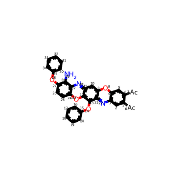 CC(=O)c1cc2c(cc1C(C)=O)Oc1cc3c(c(Oc4ccccc4)c1=N2)Oc1ccc(Oc2ccccc2)c(N)c1N=3